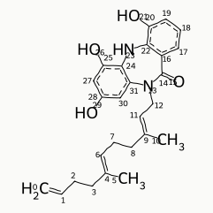 C=CCC/C(C)=C/CC/C(C)=C/CN1C(=O)c2cccc(O)c2Nc2c(O)cc(O)cc21